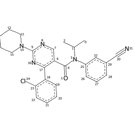 CC(C)N(C(=O)c1cnc(N2CCCCC2)nc1-c1ccccc1Cl)c1cccc(C#N)c1